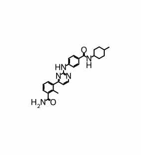 Cc1c(C(N)=O)cccc1-c1ccnc(Nc2ccc(C(=O)NC3CCC(C)CC3)cc2)n1